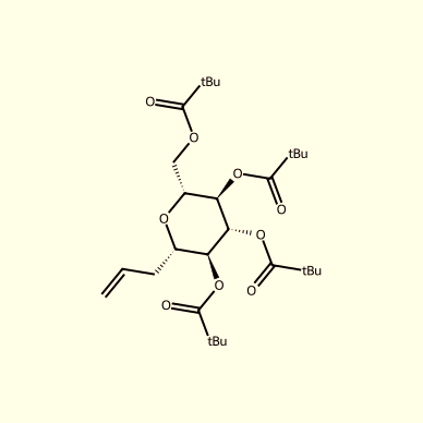 C=CC[C@@H]1O[C@H](COC(=O)C(C)(C)C)[C@@H](OC(=O)C(C)(C)C)[C@H](OC(=O)C(C)(C)C)[C@H]1OC(=O)C(C)(C)C